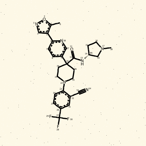 Cc1oncc1-c1ccc(C2(C(=O)N[C@@H]3CCN(C)C3)CCN(c3ccc(C(F)(F)F)cc3C#N)CC2)cn1